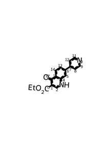 CCOC(=O)c1c[nH]c2cc(-c3ccncc3)ccc2c1=O